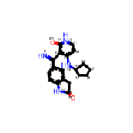 N=C(c1ccc2c(c1)CC(=O)N2)c1c(NC2CCCC2)cc[nH]c1=O